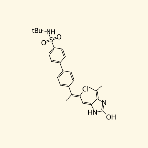 CC(C)=c1nc(O)[nH]/c1=C/C(Cl)=C(\C)c1ccc(-c2ccc(S(=O)(=O)NC(C)(C)C)cc2)cc1